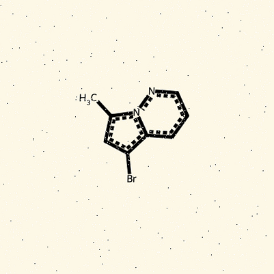 Cc1cc(Br)c2cccnn12